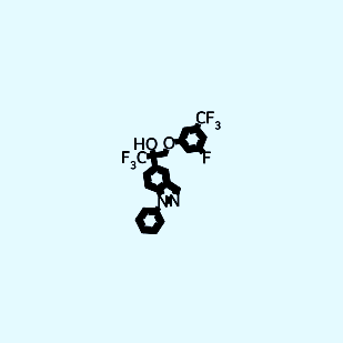 OC(COc1cc(F)cc(C(F)(F)F)c1)(c1ccc2c(cnn2-c2ccccc2)c1)C(F)(F)F